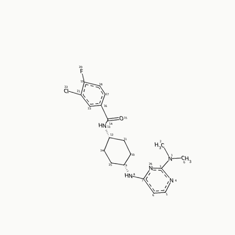 CN(C)c1nccc(N[C@H]2CC[C@@H](NC(=O)c3ccc(F)c(Cl)c3)CC2)n1